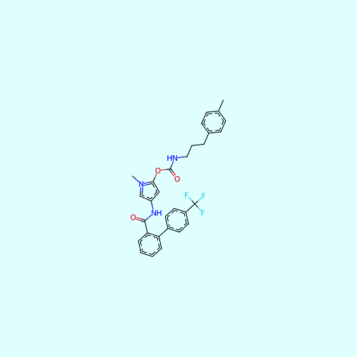 Cc1ccc(CCCNC(=O)Oc2cc(NC(=O)c3ccccc3-c3ccc(C(F)(F)F)cc3)cn2C)cc1